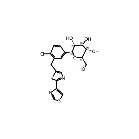 OC[C@H]1O[C@@H](c2ccc(Cl)c(Cc3cnc(-c4cscn4)s3)c2)[C@H](O)[C@@H](O)[C@@H]1O